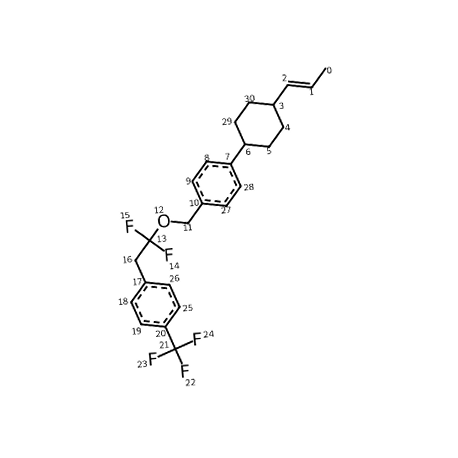 CC=CC1CCC(c2ccc(COC(F)(F)Cc3ccc(C(F)(F)F)cc3)cc2)CC1